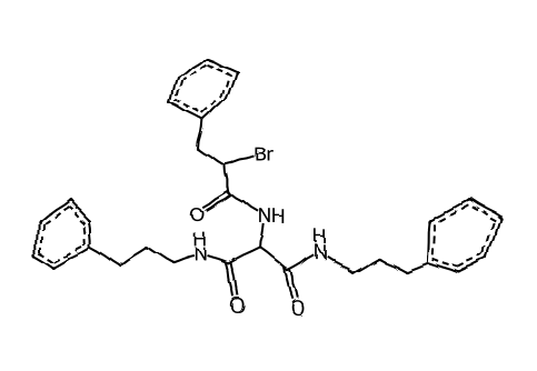 O=C(NC(C(=O)NCCCc1ccccc1)C(=O)NCCCc1ccccc1)C(Br)Cc1ccccc1